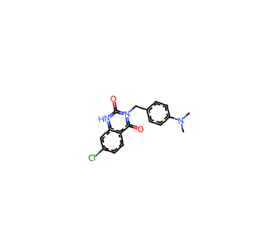 CN(C)c1ccc(Cn2c(=O)[nH]c3cc(Cl)ccc3c2=O)cc1